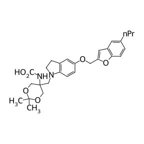 CCCc1ccc2oc(COc3ccc4c(c3)CCN4CC3(NC(=O)O)COC(C)(C)OC3)cc2c1